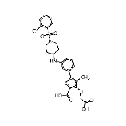 Cc1c(-c2cccc(NC3CCN(S(=O)(=O)c4ccccc4Cl)CC3)c2)sc(C(=O)O)c1OCC(=O)O